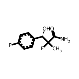 CC(F)(C(N)=O)[C@@H](O)c1ccc(F)cc1